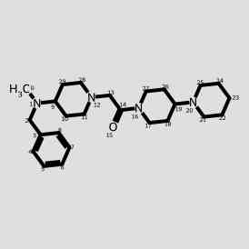 CN(Cc1ccccc1)C1CCN(CC(=O)N2CCC(N3CCCCC3)CC2)CC1